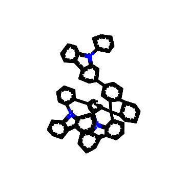 c1ccc(-n2c3ccccc3c3ccc(-c4ccc5c(c4)C4(c6ccccc6-5)c5ccc(-c6ccccc6-n6c7ccccc7c7ccccc76)cc5-n5c6ccccc6c6cccc4c65)cc32)cc1